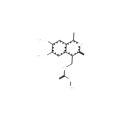 COc1cc2c(C)[nH]c(=O)c(CNC(=O)OC(C)(C)C)c2cc1OC